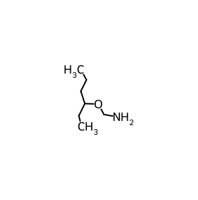 CCCC(CC)OCN